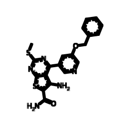 CSc1nc(-c2cncc(OCc3ccccc3)c2)c2c(N)c(C(N)=O)sc2n1